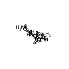 CCN1C(=O)N(c2c(F)cc(NCCNCCOC(N)=O)cc2F)c2cc(C#N)ccc2-c2cc(Cl)cnc21